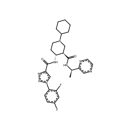 C[C@@H](NC(=O)[C@@H]1CN(C2CCCCC2)CC[C@H]1NC(=O)c1cn(-c2ccc(F)cc2F)nn1)c1cnccn1